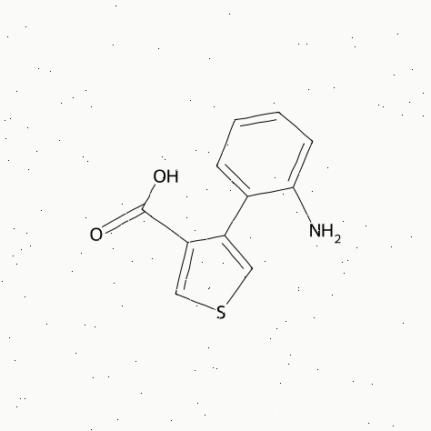 Nc1ccccc1-c1cscc1C(=O)O